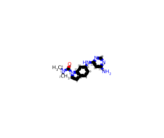 CN(C)C(=O)n1ccc2ccc(Nc3cc(N)ncn3)cc21